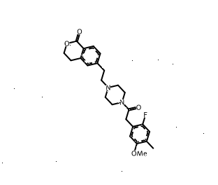 COc1cc(CC(=O)N2CCN(CCc3ccc4c(c3)CCOC4=O)CC2)c(F)cc1C